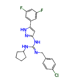 Fc1cc(F)cc(-c2cc(N/C(=N\Cc3ccc(Cl)cc3)NC3CCCC3)n[nH]2)c1